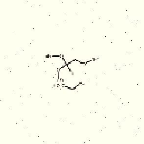 CC(=O)CC(=O)O.CCCOC[C]([Ti])(OCCC)OCCC